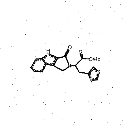 COC(=O)C(Cc1cscn1)N1Cc2c([nH]c3ccccc23)C1=O